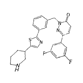 O=c1ccc(-c2cc(F)cc(F)c2)nn1Cc1cccc(-c2ncc(C3CCCNC3)s2)c1